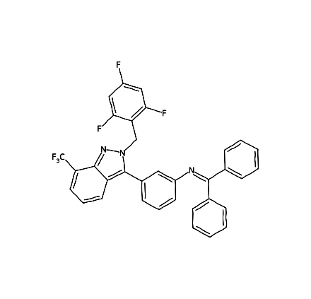 Fc1cc(F)c(Cn2nc3c(C(F)(F)F)cccc3c2-c2cccc(N=C(c3ccccc3)c3ccccc3)c2)c(F)c1